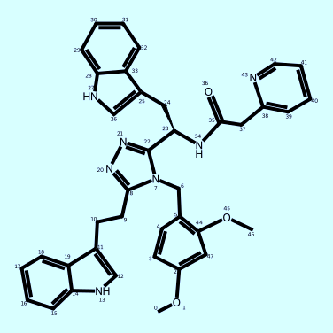 COc1ccc(Cn2c(CCc3c[nH]c4ccccc34)nnc2[C@@H](Cc2c[nH]c3ccccc23)NC(=O)Cc2ccccn2)c(OC)c1